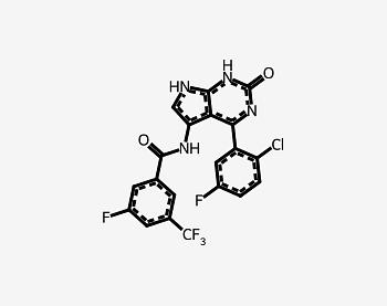 O=C(Nc1c[nH]c2[nH]c(=O)nc(-c3cc(F)ccc3Cl)c12)c1cc(F)cc(C(F)(F)F)c1